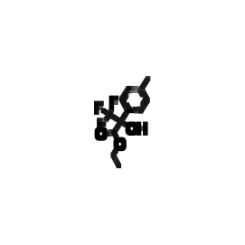 CCOC(=O)C(O)(c1ccc(C)cc1)C(F)(F)F